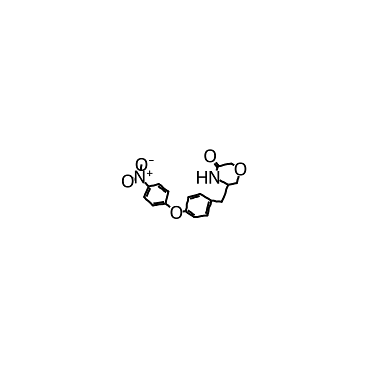 O=C1COCC(Cc2ccc(Oc3ccc([N+](=O)[O-])cc3)cc2)N1